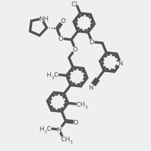 Cc1c(COC(OC(=O)[C@@H]2CCCN2)c2cc(Cl)ccc2OCc2cncc(C#N)c2)cccc1-c1cccc(C(=O)N(C)C)c1C